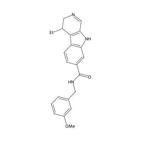 CCC1CN=Cc2[nH]c3cc(C(=O)NCc4cccc(OC)c4)ccc3c21